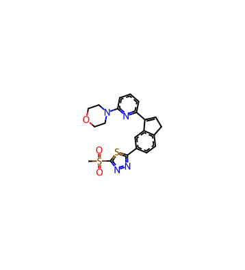 CS(=O)(=O)c1nnc(-c2ccc3c(c2)C(c2cccc(N4CCOCC4)n2)=CC3)s1